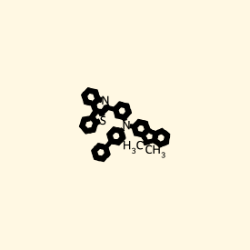 CC1(C)c2ccccc2-c2ccc(N(c3ccc(-c4ccccc4)cc3)c3cccc(-c4nc5ccccc5c5c4sc4ccccc45)c3)cc21